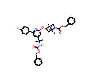 CC(C)(NC(=O)OCc1ccccc1)c1cc(O[C@@H]2C[C@@H]3[C@H]2CN3C(=O)OCc2ccccc2)nc(-c2ccc(F)cc2)c1